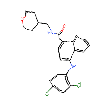 O=C(NCC1CCOCC1)c1ccc(Nc2ccc(Cl)cc2Cl)c2ccccc12